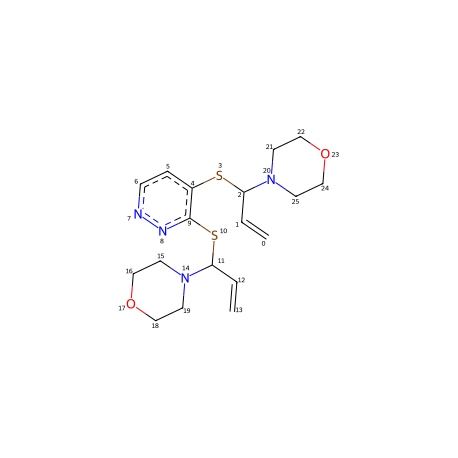 C=CC(Sc1ccnnc1SC(C=C)N1CCOCC1)N1CCOCC1